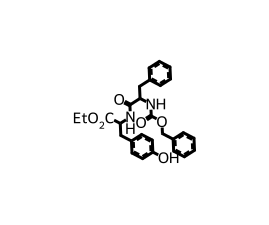 CCOC(=O)C(Cc1ccc(O)cc1)NC(=O)C(Cc1ccccc1)NC(=O)OCc1ccccc1